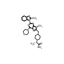 Cc1nc2ccccc2n1-c1nc(N2CCOCC2)c2nc(CC3CCN([C@@H](C)C(N)=O)CC3)n(C)c2n1